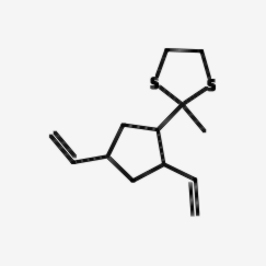 C=CC1CC(C=C)C(C2(C)SCCS2)C1